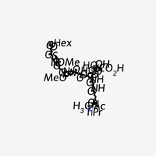 CCC/C=C(/C)CC(=O)N(CCCCCC(=O)NCCC(=O)Nc1cc(COC(=O)CCC(=O)N2Cc3cc(OC)c(OCCCOc4nc5cc(C(=O)CCC(=O)OCCCCCC)sc5cc4OC)nc3C2)ccc1OC1O[C@H](C(=O)O)[C@@H](O)[C@H](O)[C@H]1O)C(C)=O